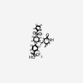 C[C@@H]1CNC(=O)CN1C[C@H]1CN(S(=O)(=O)c2cccs2)CCN1c1ccc([C@](C)(O)C(F)(F)F)cc1